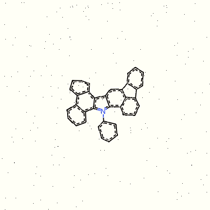 c1ccc(-n2c3c4cccc5c4c(cc3c3c4ccccc4c4ccccc4c32)-c2ccccc2-5)cc1